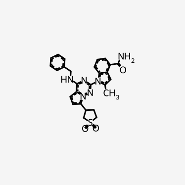 Cc1cc2c(C(N)=O)cccc2n1-c1nc(NCc2ccccc2)c2ccc(C3CCS(=O)(=O)C3)n2n1